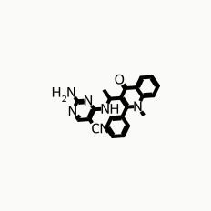 CC(Nc1nc(N)ncc1C#N)c1c(-c2ccccc2)n(C)c2ccccc2c1=O